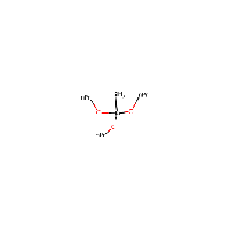 CCCO[Si]([SiH3])(OCCC)OCCC